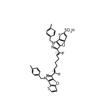 Cc1ccc(Cn2nc(/C(F)=C/CCC/C=C(\F)c3nn(Cc4ccc(C)cc4)c4c3oc3cc(S(=O)(=O)O)sc34)c3oc4ccsc4c32)cc1